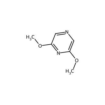 COc1cncc(OC)n1